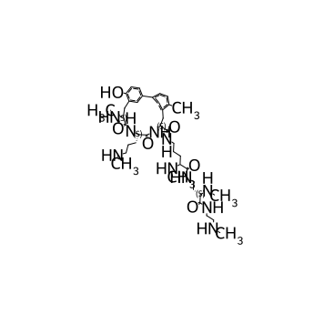 CNCCC[C@@H]1NC(=O)[C@@H](NC)Cc2cc(ccc2O)-c2ccc(C)c(c2)C[C@@H](C(=O)NCCCC(NC)C(=O)NCC[C@H](NC)C(=O)NCCNC)NC1=O